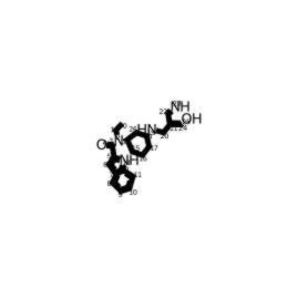 CCN(C(=O)c1cc2ccccc2[nH]1)[C@H]1CCC[C@@H](NC/C(C=N)=C/O)C1